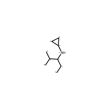 CCC(NC1CC1)C(C)C